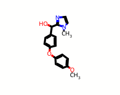 COc1ccc(Oc2ccc(C(O)c3nccn3C)cc2)cc1